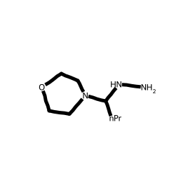 CCCC(NN)N1CCOCC1